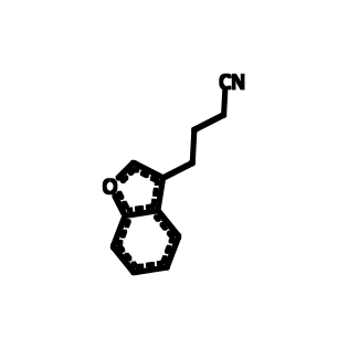 N#CCCCc1coc2ccccc12